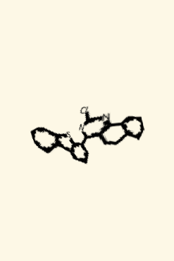 Clc1nc2c(c(-c3cccc4c3sc3ccccc34)n1)CCc1ccccc1-2